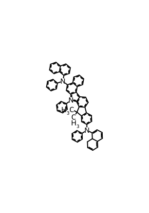 CC1(C)c2cc(N(C3=CC=CC4=CC=CCC43)c3ccccc3)ccc2-c2ccc3c4c5ccccc5c(N(c5ccccc5)c5cccc6ccccc56)cc4n(-c4ccccc4)c3c21